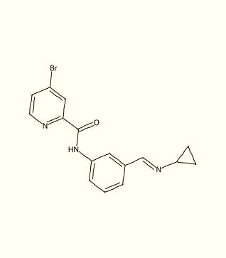 O=C(Nc1cccc(C=NC2CC2)c1)c1cc(Br)ccn1